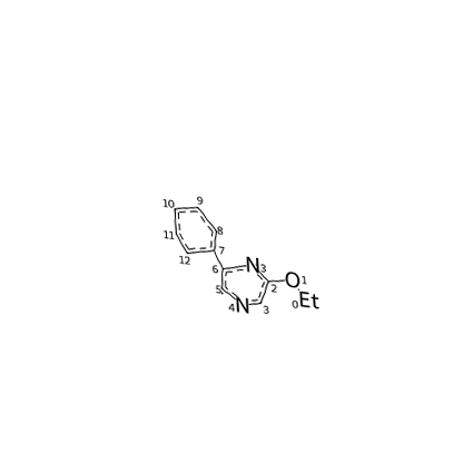 CCOc1cn[c]c(-c2ccccc2)n1